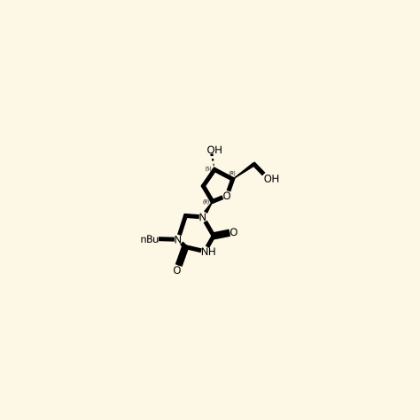 CCCCN1CN([C@H]2C[C@H](O)[C@@H](CO)O2)C(=O)NC1=O